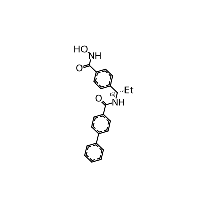 CC[C@H](NC(=O)c1ccc(-c2ccccc2)cc1)c1ccc(C(=O)NO)cc1